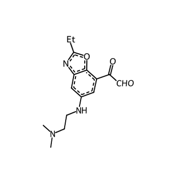 CCc1nc2cc(NCCN(C)C)cc(C(=O)C=O)c2o1